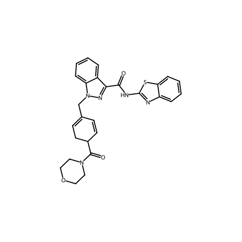 O=C(Nc1nc2ccccc2s1)c1nn(CC2=CCC(C(=O)N3CCOCC3)C=C2)c2ccccc12